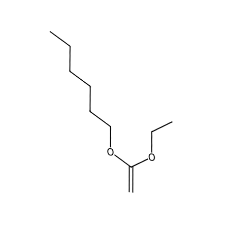 C=C(OCC)OCCCCCC